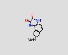 CNC1Cc2ccc3[nH]c(=O)c(=O)[nH]c3c2C1